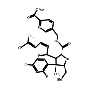 COC(=O)c1ccc(CNC(=O)[C@@H]2N[C@@H](CC(C)(C)C)[C@](C)(c3ccc(Cl)cc3F)C2C(F)/C=C\C=C(/C)Cl)cn1